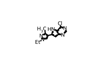 CCn1cc(-c2cc3ncnc(Cl)c3[nH]2)c(C)n1